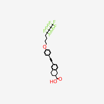 O=C(O)C1CCc2cc(C#Cc3ccc(OCCCCC(F)(F)C(F)(F)C(F)(F)C(F)(F)F)cc3)ccc2C1